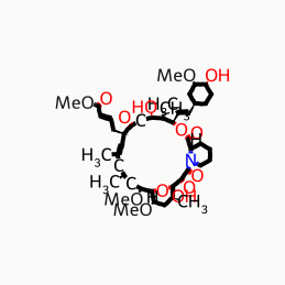 COC(=O)/C=C/C[C@@H]1/C=C(\C)C[C@H](C)C[C@H](OC)[C@H]2O[C@@](O)(C(=O)C(=O)N3CCCC[C@H]3C(=O)O[C@H](/C(C)=C/[C@@H]3CC[C@@H](O)[C@H](OC)C3)[C@H](C)[C@@H](O)CC1=O)[C@H](C)C[C@@H]2OC